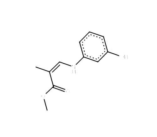 COC(=O)C(C)=CNc1cccc(O)c1